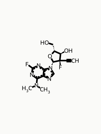 C#C[C@@]1(F)[C@H](O)[C@@H](CO)O[C@H]1n1cnc2c(N(C)C)nc(F)nc21